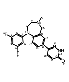 CN1CCN(c2cc(F)cc(F)c2)c2ccc(-c3ccc(=O)[nH]n3)cc2C1